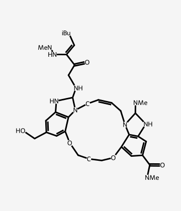 CCC(C)/C=C(\NNC)C(=O)CNC1Nc2cc(CO)cc3c2N1C/C=C\CN1c2c(cc(C(=O)NC)cc2OCCCO3)NC1NC